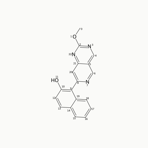 COc1ncc2cnc(-c3c(O)ccc4ccccc34)cc2n1